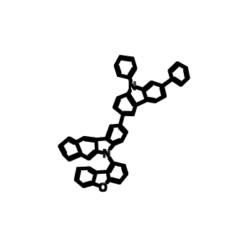 c1ccc(-c2ccc3c4cc(-c5ccc6c(c5)c5cc7ccccc7cc5n6-c5cccc6oc7ccccc7c56)ccc4n(-c4ccccc4)c3c2)cc1